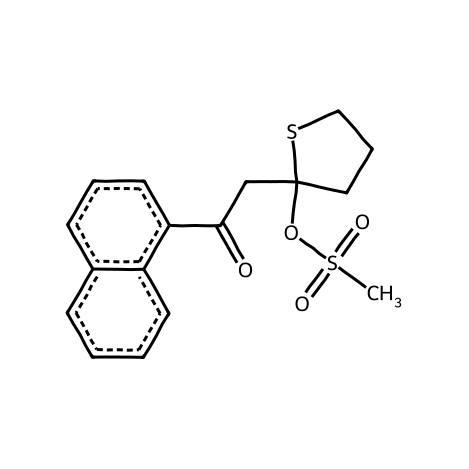 CS(=O)(=O)OC1(CC(=O)c2cccc3ccccc23)CCCS1